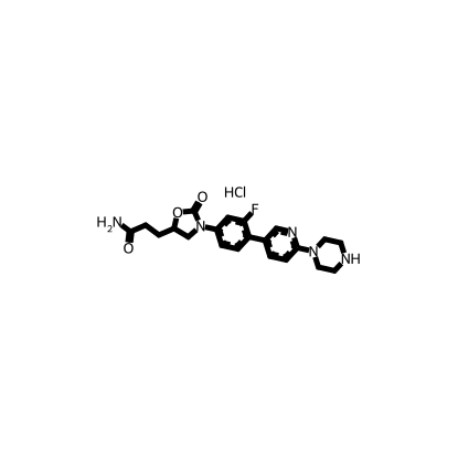 Cl.NC(=O)CCC1CN(c2ccc(-c3ccc(N4CCNCC4)nc3)c(F)c2)C(=O)O1